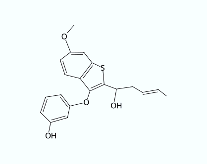 CC=CCC(O)c1sc2cc(OC)ccc2c1Oc1cccc(O)c1